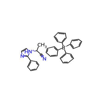 CC(C#N)[NH+]1C=CN=C1c1ccccc1.c1ccc([B-](c2ccccc2)(c2ccccc2)c2ccccc2)cc1